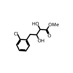 COC(=O)C(O)C(O)Cc1ccccc1Cl